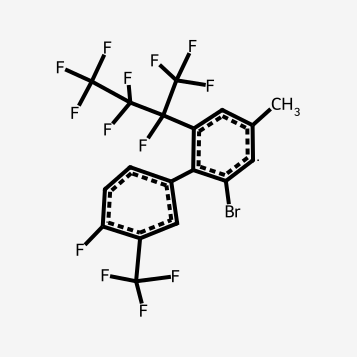 Cc1[c]c(Br)c(-c2ccc(F)c(C(F)(F)F)c2)c(C(F)(C(F)(F)F)C(F)(F)C(F)(F)F)c1